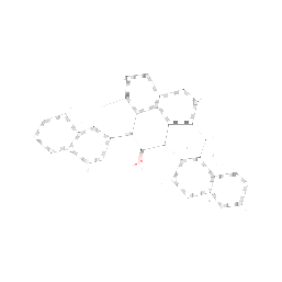 Cc1ccc2ccc3c4c2c1C(c1ccc2ccccc2c1)C(=O)C4c1ccc2ccccc2c1C3